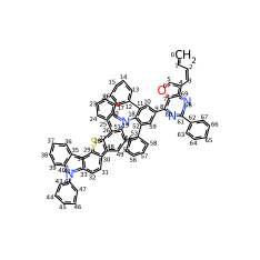 C=C/C=C\c1coc2c(-c3cc(-c4ccccc4)c(-n4c5ccccc5c5c6sc7c(ccc8c7c7ccccc7n8-c7ccccc7)c6ccc54)c(-c4ccccc4)c3)nc(-c3ccccc3)nc12